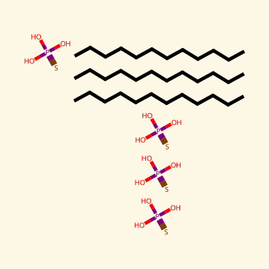 CCCCCCCCCCCC.CCCCCCCCCCCC.CCCCCCCCCCCC.OP(O)(O)=S.OP(O)(O)=S.OP(O)(O)=S.OP(O)(O)=S